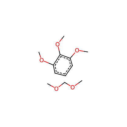 COCOC.COc1cccc(OC)c1OC